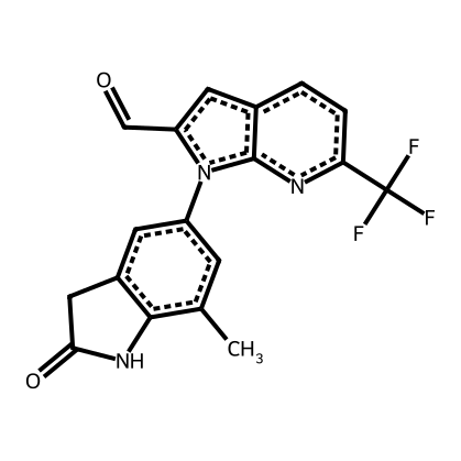 Cc1cc(-n2c(C=O)cc3ccc(C(F)(F)F)nc32)cc2c1NC(=O)C2